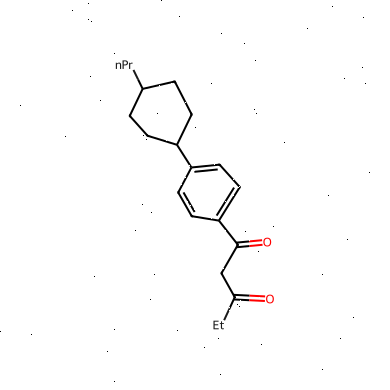 CCCC1CCC(c2ccc(C(=O)CC(=O)CC)cc2)CC1